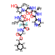 CCC[C@H](NC(=O)[C@@H]1C[C@@H](O)CN1C(=O)[C@@H](NC(=O)[C@@H](NC(=O)c1cnccn1)C(C)C)C(C)C)C(O)C(F)(F)C(=O)NCC(=O)OCc1ccccc1